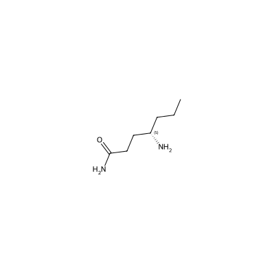 CCC[C@H](N)CCC(N)=O